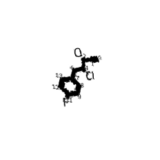 C#CC(=O)C(Cl)Cc1ccc(F)cc1